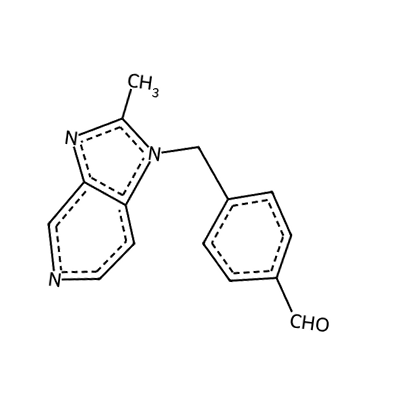 Cc1nc2cnccc2n1Cc1ccc(C=O)cc1